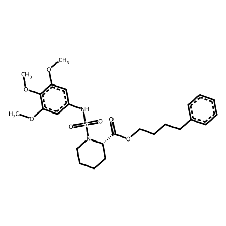 COc1cc(NS(=O)(=O)N2CCCC[C@H]2C(=O)OCCCCc2ccccc2)cc(OC)c1OC